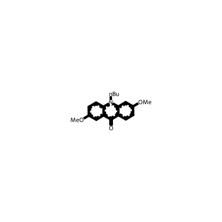 CCCCn1c2ccc(OC)cc2c(=O)c2ccc(OC)cc21